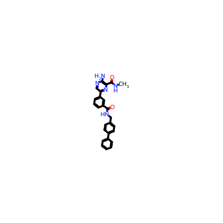 CNC(=O)c1nc(-c2cccc(C(=O)NCc3ccc(-c4ccccc4)cc3)c2)cnc1N